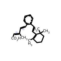 CC1=C(C=Cc2ccccc2/C=C/C(C)=C/C(=O)O)C(C)(C)CCC1